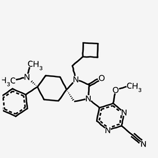 COc1nc(C#N)ncc1N1C[C@]2(CC[C@@](c3ccccc3)(N(C)C)CC2)N(CC2CCC2)C1=O